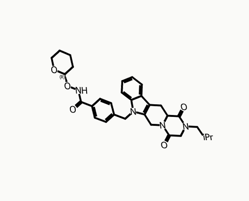 CC(C)CN1CC(=O)N2Cc3c(c4ccccc4n3Cc3ccc(C(=O)NO[C@@H]4CCCCO4)cc3)CC2C1=O